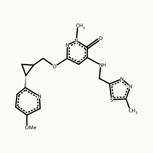 COc1ccc([C@@H]2CC2COc2cc(NCc3nnc(C)s3)c(=O)n(C)n2)nc1